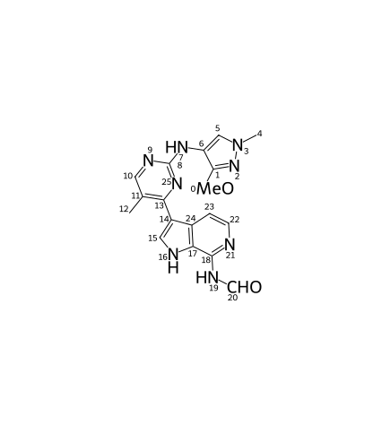 COc1nn(C)cc1Nc1ncc(C)c(-c2c[nH]c3c(NC=O)nccc23)n1